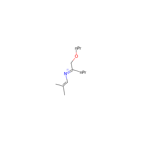 CCCOC/C(CCC)=N/C=C(C)C